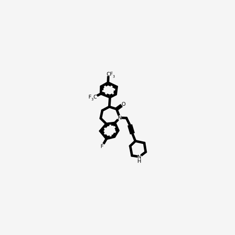 O=C1C(c2ccc(C(F)(F)F)cc2C(F)(F)F)CCc2cc(F)ccc2N1CC#CC1CCNCC1